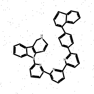 C1=Cc2c(c3ccccc3n2-c2cccc(-c3cccc(-c4cccc(-c5ccc(-c6cccc7ccccc67)cc5)n4)n3)n2)CN1